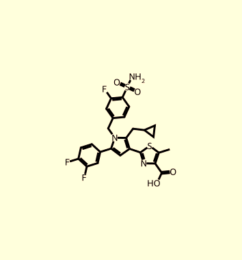 Cc1sc(-c2cc(-c3ccc(F)c(F)c3)n(Cc3ccc(S(N)(=O)=O)c(F)c3)c2CC2CC2)nc1C(=O)O